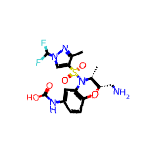 Cc1nn(C(F)F)cc1S(=O)(=O)N1c2cc(NC(=O)O)ccc2O[C@@H](CN)[C@H]1C